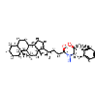 COC(=O)[C@H](Cc1ccccc1)NC(=O)CCCC1CCC2C3CCC4CCCCC4(C)C3CCC12C